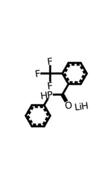 O=C(Pc1ccccc1)c1ccccc1C(F)(F)F.[LiH]